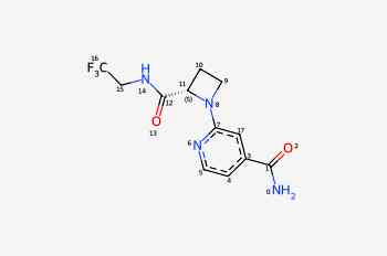 NC(=O)c1ccnc(N2CC[C@H]2C(=O)NCC(F)(F)F)c1